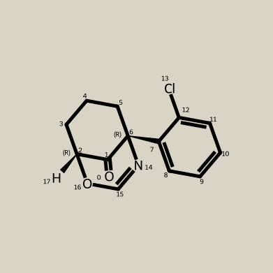 O=C1[C@H]2CCC[C@]1(c1ccccc1Cl)N=CO2